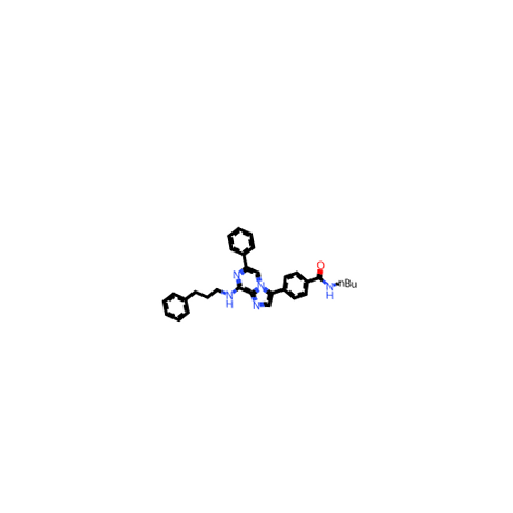 CCCCNC(=O)c1ccc(-c2cnc3c(NCCCc4ccccc4)nc(-c4ccccc4)cn23)cc1